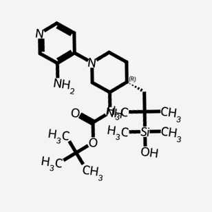 CC(C)(C)OC(=O)NC1CN(c2ccncc2N)CC[C@@H]1CC(C)(C)[Si](C)(C)O